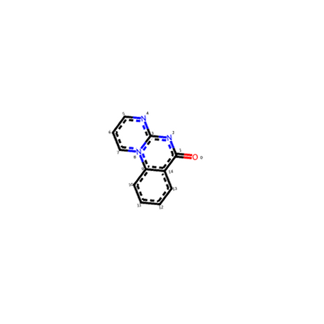 O=c1nc2ncccn2c2ccccc12